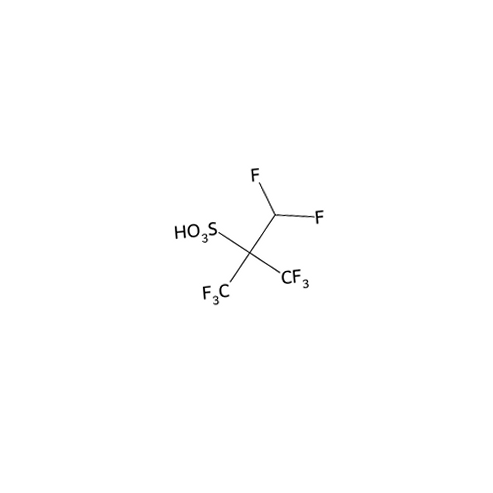 O=S(=O)(O)C(C(F)F)(C(F)(F)F)C(F)(F)F